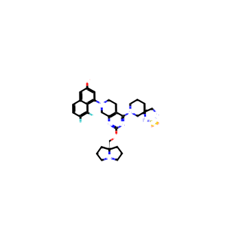 O=S1(=O)NCC2(CCCN(c3nc(OC[C@@]45CCCN4C[C@H](F)C5)nc4c3CCN(c3cc(O)cc5ccc(F)c(F)c35)C4)C2)N1